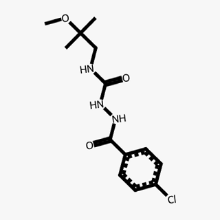 COC(C)(C)CNC(=O)NNC(=O)c1ccc(Cl)cc1